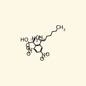 C/C=C(/C(=O)O)c1c([C@@H](C)CCCCCC)cc([N+](=O)[O-])cc1[N+](=O)[O-]